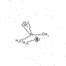 CCCCCCCC[P+](CCCCCCCC)(CCCCCCCC)CCCCCCCC.CCCCCCS(=O)(=O)[O-]